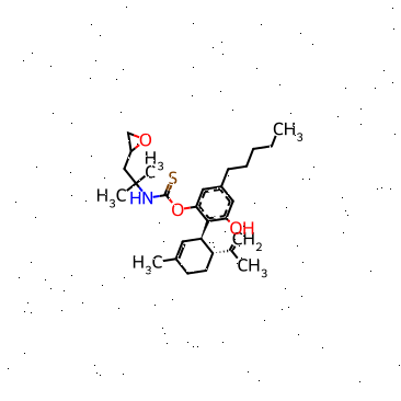 C=C(C)[C@@H]1CCC(C)=C[C@H]1c1c(O)cc(CCCCC)cc1OC(=S)NC(C)(C)CC1CO1